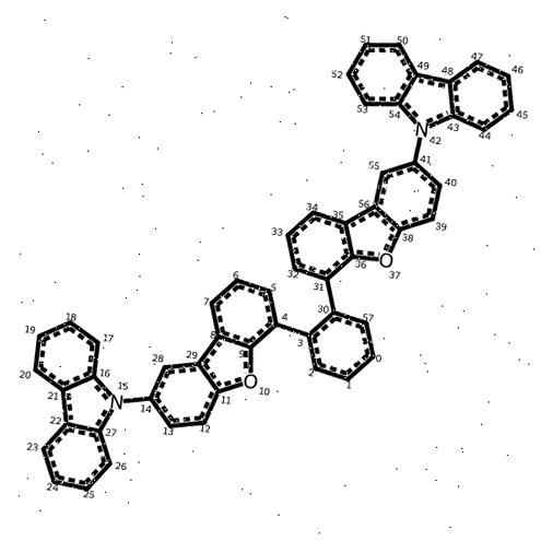 c1ccc(-c2cccc3c2oc2ccc(-n4c5ccccc5c5ccccc54)cc23)c(-c2cccc3c2oc2ccc(-n4c5ccccc5c5ccccc54)cc23)c1